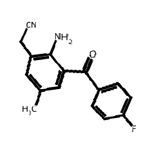 Cc1cc(CC#N)c(N)c(C(=O)c2ccc(F)cc2)c1